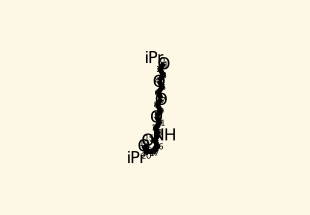 CC(C)OCCOCCOCCOCCNC(=O)/C=C\C(=O)C(C)C